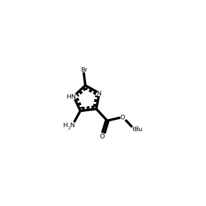 CC(C)(C)OC(=O)c1nc(Br)[nH]c1N